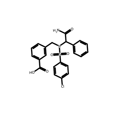 NC(=O)C(c1ccccc1)N(Cc1cccc(C(=O)O)c1)S(=O)(=O)c1ccc(Cl)cc1